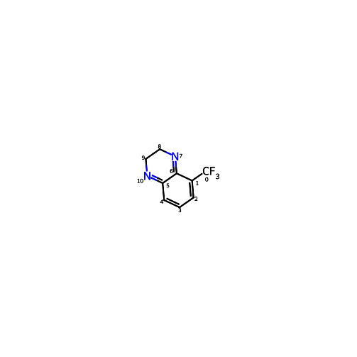 FC(F)(F)c1cccc2c1=NCCN=2